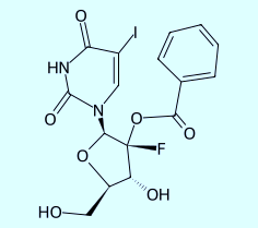 O=C(O[C@]1(F)[C@H](O)[C@@H](CO)O[C@H]1n1cc(I)c(=O)[nH]c1=O)c1ccccc1